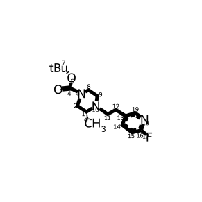 C[C@@H]1CN(C(=O)OC(C)(C)C)CCN1CCc1ccc(F)nc1